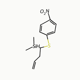 C=CCC(Sc1ccc([N+](=O)[O-])cc1)[SiH](C)C